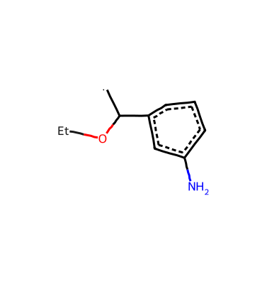 [CH2]C(OCC)c1cccc(N)c1